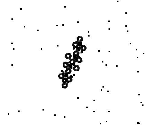 CC1=C(N(c2ccc3c(c2)c2cccc4c2n3C2=C(C3=CCCC=C3)c3c(n5c6ccc(N(C7=C(C)CCC=C7)c7c(C)ccc8c7oc7ccccc78)cc6c6cccc3c65)C(c3ccccc3)C24)c2c(C)ccc3c2oc2ccccc23)C=CCC1